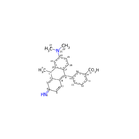 CC1C2=CC(=N)C=CC2=C(c2cccc(C(=O)O)c2)c2ccc(N(C)C)cc21